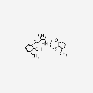 Cc1cccc(SCC(C)CNC2COc3cccc(C)c3SC2)c1O